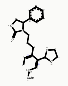 C/C=C(CCCN1C(=O)OCC1c1ccccc1)\C(=C/POC)C1OCCO1